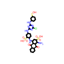 Nc1c(S(=O)(=O)O)cc(Nc2ccc(Nc3nc(Cl)nc(Nc4cccc(SO)c4)n3)cc2S(=O)(=O)O)c2c1C(=O)c1ccccc1C2=O